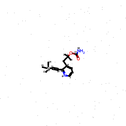 CC(C)(Cc1cccnc1C#C[Si](C)(C)C)OC(N)=O